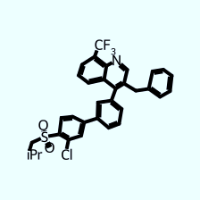 CC(C)CS(=O)(=O)c1ccc(-c2cccc(-c3c(Cc4ccccc4)cnc4c(C(F)(F)F)cccc34)c2)cc1Cl